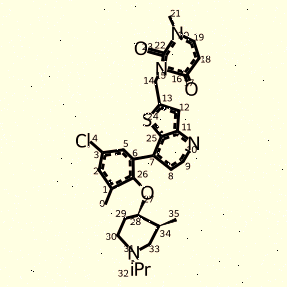 Cc1cc(Cl)cc(-c2ccnc3cc(Cn4c(=O)ccn(C)c4=O)sc23)c1O[C@@H]1CCN(C(C)C)C[C@@H]1C